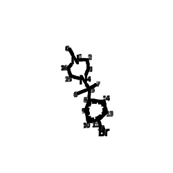 CN1CCN(C(C)(C)c2ccc(Br)cc2)CC1